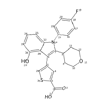 O=C(O)c1cc(-c2c(C3CCOCC3)n(-c3ccc(F)cc3)c3cccc(O)c23)cs1